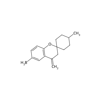 Bc1ccc2c(c1)C(=C)CC1(CCC(C)CC1)O2